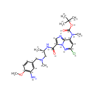 COc1ccc(CN(C)C[C@@H](C)NC(=O)c2cnc3c(N(C)C(=O)OC(C)(C)C)cc(Cl)nn23)cc1N